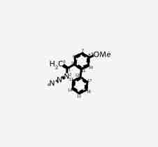 C=C(N=[N+]=[N-])c1ccc(OC)cc1-c1ccccc1